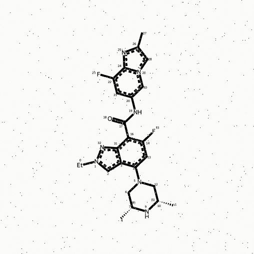 CCn1cc2c(N3C[C@@H](C)N[C@@H](C)C3)cc(F)c(C(=O)Nc3cc(F)c4nc(C)cn4c3)c2n1